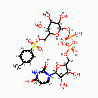 Cc1ccc(S(=O)(=O)OCC2O[C@H](OP(=O)(O)OP(=O)(O)OCC3OC(n4ccc(=O)[nH]c4=O)[C@H](O)[C@@H]3O)C(O)C(O)[C@H]2O)cc1